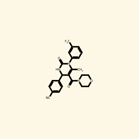 CC1=C(C(=O)N2CCOCC2)C(c2ccc(C#N)cc2)NC(=O)N1c1cccc(C(F)(F)F)c1